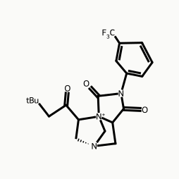 CC(C)(C)CC(=O)C1C[N@@]2CC3C(=O)N(c4cccc(C(F)(F)F)c4)C(=O)[N+]13C2